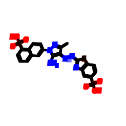 Cc1nn(-c2ccc3c(S(=O)(=O)O)cccc3c2)c(N)c1/N=N/c1nc2cc(S(=O)(=O)O)ccc2s1